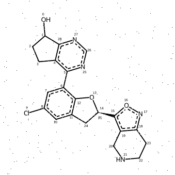 OC1CCc2c(-c3cc(Cl)cc4c3O[C@@H](c3onc5c3CNCC5)C4)ncnc21